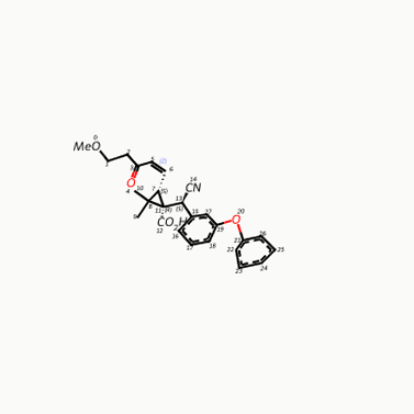 COCCC(=O)/C=C\[C@H]1C(C)(C)[C@]1(C(=O)O)[C@@H](C#N)c1cccc(Oc2ccccc2)c1